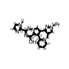 Cc1cn(C(C)C)nc1-c1cn2nc(-c3nccn3C)nc(O)c2c1-c1ccccn1